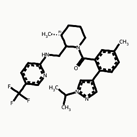 Cc1ccc(-c2cnn(C(C)C)c2)c(C(=O)N2CCC[C@@H](C)C2CNc2ccc(C(F)(F)F)cn2)c1